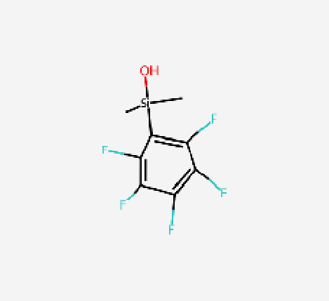 C[Si](C)(O)c1c(F)c(F)c(F)c(F)c1F